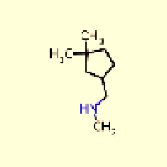 CNCC1CCC(C)(C)C1